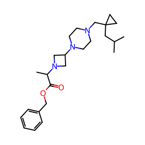 CC(C)CC1(CN2CCN(C3CN(C(C)C(=O)OCc4ccccc4)C3)CC2)CC1